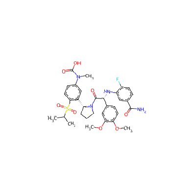 COc1ccc([C@@H](Nc2cc(C(N)=O)ccc2F)C(=O)N2CCC[C@@H]2c2cc(N(C)C(=O)O)ccc2S(=O)(=O)C(C)C)cc1OC